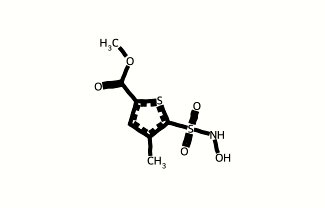 COC(=O)c1cc(C)c(S(=O)(=O)NO)s1